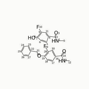 CNC(=O)c1ccc(O)c(F)c1.CNC(=O)c1ccc(OCc2ccccc2)c(F)c1